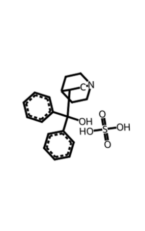 O=S(=O)(O)O.OC(c1ccccc1)(c1ccccc1)C1CN2CCC1CC2